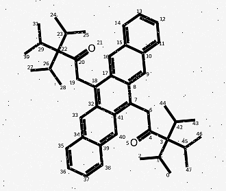 CC(C)C(C(=O)Cc1c2cc3ccccc3cc2c(CC(=O)C(C(C)C)(C(C)C)C(C)C)c2cc3ccccc3cc12)(C(C)C)C(C)C